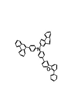 c1ccc(-c2cccc3c2oc2ccc(-c4ccc(N(c5ccc(-c6cc7ccccc7c7ccccc67)cc5)c5ccc6c(ccc7ccccc76)c5)cc4)cc23)cc1